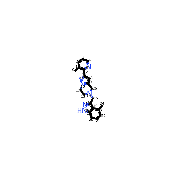 Cc1cccnc1-c1cc2n(n1)CCN(Cc1n[nH]c3cccc(C)c13)C2